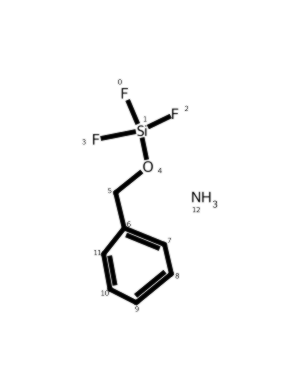 F[Si](F)(F)OCc1ccccc1.N